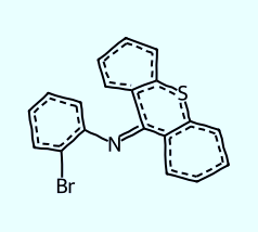 Brc1ccccc1N=c1c2ccccc2sc2ccccc12